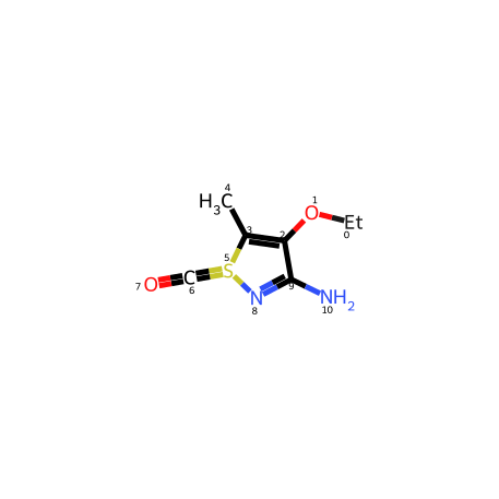 CCOC1=C(C)S(=C=O)N=C1N